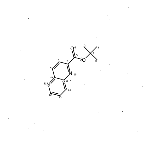 CC(C)(C)OC(=O)c1ccc2ncccc2n1